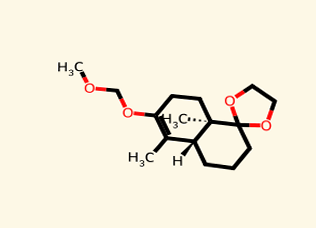 COCOC1=C(C)[C@H]2CCCC3(OCCO3)[C@]2(C)CC1